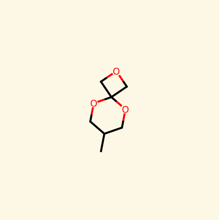 CC1COC2(COC2)OC1